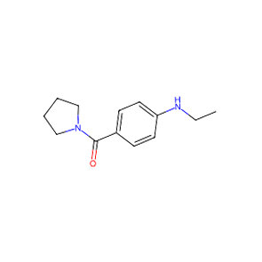 CCNc1ccc(C(=O)N2CCCC2)cc1